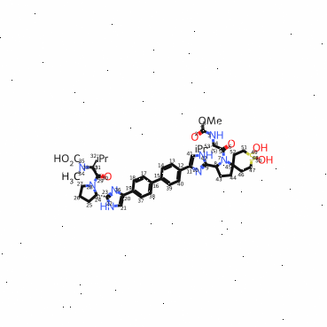 COC(=O)N[C@H](C(=O)N1C(c2nc(-c3ccc(-c4ccc(-c5c[nH]c([C@@H]6CCCN6C(=O)[C@H](C(C)C)N(C)C(=O)O)n5)cc4)cc3)c[nH]2)CCC12CCS(O)(O)CC2)C(C)C